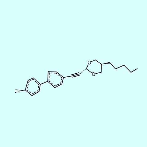 CCCCC[C@H]1CO[C@H](C#Cc2ccc(-c3ccc(Cl)cc3)cc2)OC1